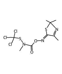 CC1=NC(C)(C)SC1=NOC(=O)N(C)SC(Cl)(Cl)Cl